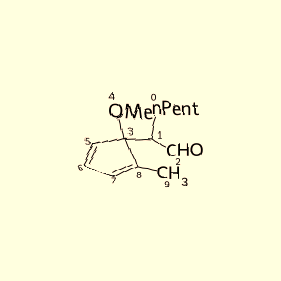 CCCCCC(C=O)C1(OC)C=CC=C1C